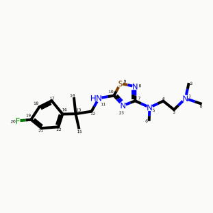 CN(C)CCN(C)c1nsc(NCC(C)(C)c2ccc(F)cc2)n1